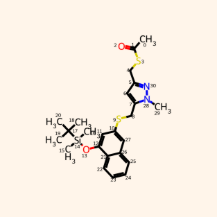 CC(=O)SCc1cc(CSc2cc(O[Si](C)(C)C(C)(C)C)c3ccccc3c2)n(C)n1